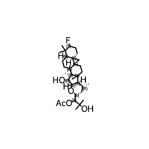 CC(=O)O[C@@H]([C@H]1C[C@@H](C)[C@H]2[C@H](O1)[C@H](O)[C@@]1(C)[C@@H]3CC[C@H]4C(C)(C)[C@@H](F)CC[C@@]45C[C@@]35CC[C@]21C)C(C)(C)O